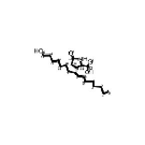 CCCCCCCCCCCCCCCCO.O=C1CCC(C(=O)O)N1